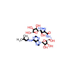 CC(C)=CCNc1ncnc2c1ncn2[C@@H]1O[C@H](CO)[C@@H](O)[C@H]1O.NC(=O)c1n[nH]c([C@@H]2O[C@H](CO)[C@@H](O)[C@H]2O)c1O